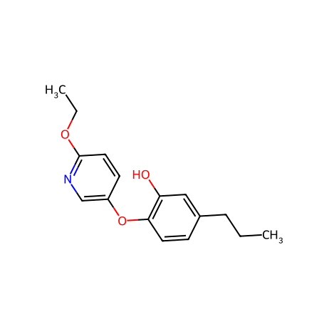 CCCc1ccc(Oc2ccc(OCC)nc2)c(O)c1